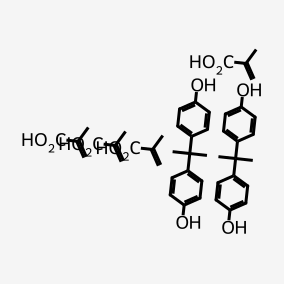 C=C(C)C(=O)O.C=C(C)C(=O)O.C=C(C)C(=O)O.C=C(C)C(=O)O.CC(C)(c1ccc(O)cc1)c1ccc(O)cc1.CC(C)(c1ccc(O)cc1)c1ccc(O)cc1